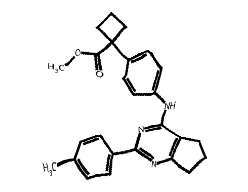 COC(=O)C1(c2ccc(Nc3nc(-c4ccc(C)cc4)nc4c3CCC4)cc2)CCC1